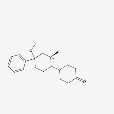 COC1(c2ccccc2)CCC(C2CCC(=O)CC2)[C@H](C)C1